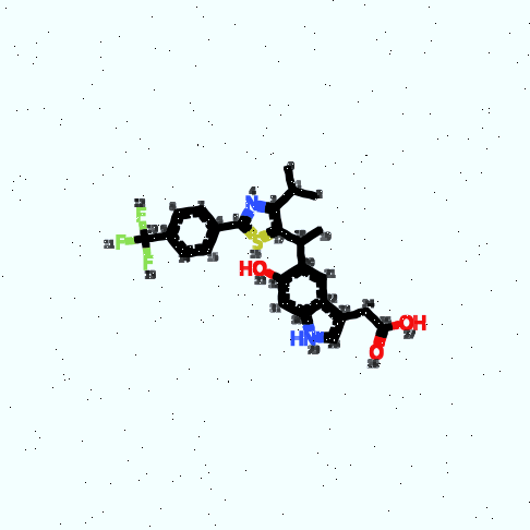 CC(C)c1nc(-c2ccc(C(F)(F)F)cc2)sc1C(C)c1cc2c(CC(=O)O)c[nH]c2cc1O